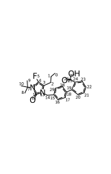 CCCc1c(F)n(C(C)(C)C)c(=O)n1Cc1ccc(-c2ccccc2C(=O)O)cc1